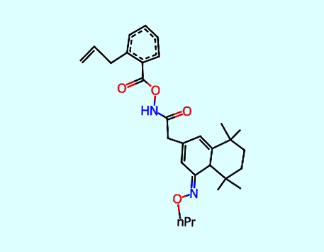 C=CCc1ccccc1C(=O)ONC(=O)CC1=CC(=NOCCC)C2C(=C1)C(C)(C)CCC2(C)C